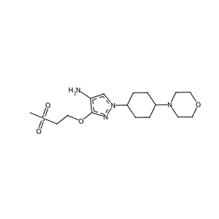 CS(=O)(=O)CCOc1nn(C2CCC(N3CCOCC3)CC2)cc1N